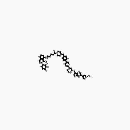 Cn1cc(-c2cnc3c(nnn3C[C@@H]3CN(c4ncc(-c5ccc(CN6CCN(C(=O)CCCCNc7cccc8cnn(C9CCC(=O)NC9=O)c(=O)c78)CC6)cc5)cn4)CCO3)n2)cn1